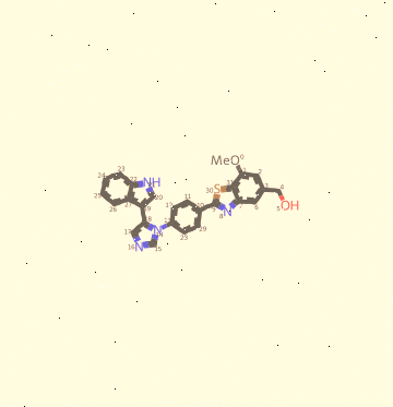 COc1cc(CO)cc2nc(-c3ccc(-n4cncc4-c4c[nH]c5ccccc45)cc3)sc12